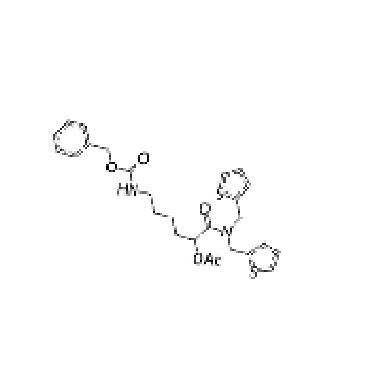 CC(=O)OC(CCCCNC(=O)OCc1ccccc1)C(=O)N(Cc1cccs1)Cc1cccs1